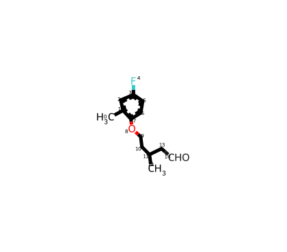 Cc1cc(F)ccc1OCCC(C)CC=O